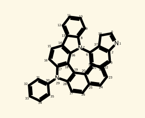 C1=Nc2cccc(-n3c4ccccc4c4ccc5c(c6c7ccccc7ccc6n5-c5ccccc5)c43)c2C1